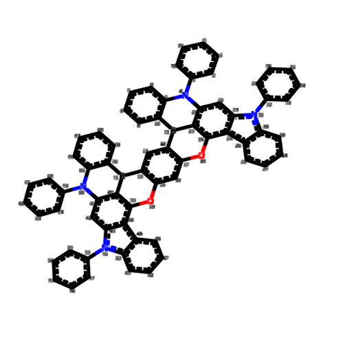 c1ccc(N2c3ccccc3B3c4cc5c(cc4Oc4c3c2cc2c4c3ccccc3n2-c2ccccc2)Oc2c3c(cc4c2c2ccccc2n4-c2ccccc2)N(c2ccccc2)c2ccccc2B53)cc1